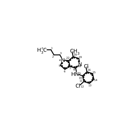 CCCCn1ccc2c(Nc3c(Cl)cccc3Cl)ncc(C)c21